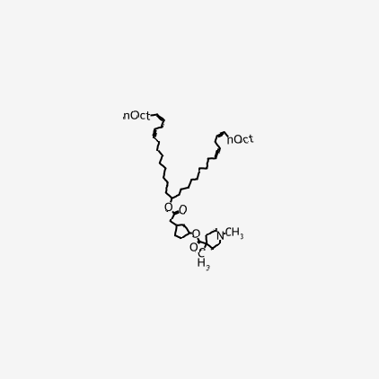 CCCCCCCC/C=C\C/C=C\CCCCCCCCC(CCCCCCCC/C=C\C/C=C\CCCCCCCC)OC(=O)CC1CCC(OC(=O)C2(C)CCN(C)CC2)C1